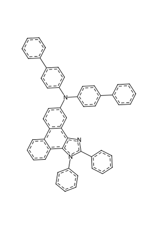 c1ccc(-c2ccc(N(c3ccc(-c4ccccc4)cc3)c3ccc4c5ccccc5c5c(nc(-c6ccccc6)n5-c5ccccc5)c4c3)cc2)cc1